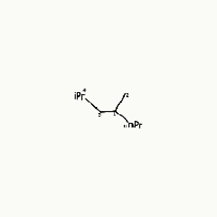 C[CH]CC(C)CC(C)C